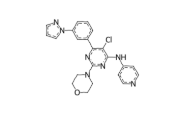 Clc1c(Nc2ccncc2)nc(N2CCOCC2)nc1-c1cccc(-n2cccn2)c1